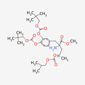 COC(=O)C(N)(Cc1ccc(OC(=O)OCC(C)(C)C)c(OC(=O)OCC(C)(C)C)c1)C[C@H](C)OC(=O)OCC(C)C